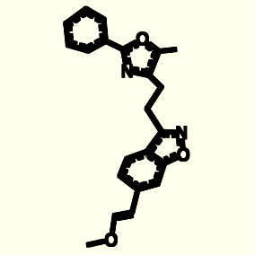 COC=Cc1ccc2c(CCc3nc(-c4ccccc4)oc3C)noc2c1